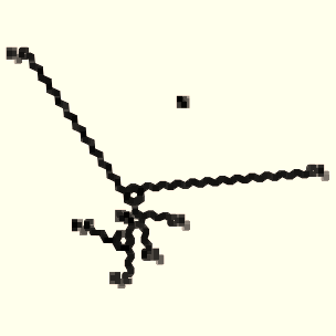 CCCCCCCCCCCCCCCCCCCCCCCc1cc(CCCCCCCCCCCCCCCCCCCCCCC)cc(C2=C(CCCC)C(CCCC)=C(c3cc(CCCC)cc(CCCC)c3)[N+]2=[N-])c1.[Ni]